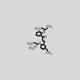 CCc1ccc(OC(CC)CC)c(/C=C/C(=O)c2ccccc2OC(CC)CC)c1